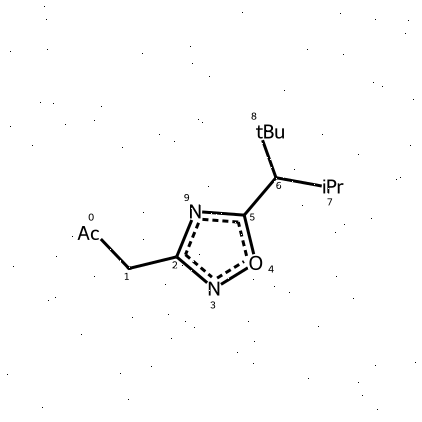 CC(=O)Cc1noc(C(C(C)C)C(C)(C)C)n1